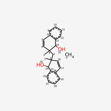 C.CC1(CC2(C)C=Cc3ccccc3C2O)C=Cc2ccccc2C1O